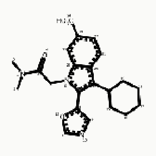 CN(C)C(=O)Cn1c(-c2cnco2)c(C2CCCCC2)c2ccc(C(=O)O)cc21